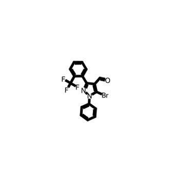 O=Cc1c(-c2ccccc2C(F)(F)F)nn(-c2ccccc2)c1Br